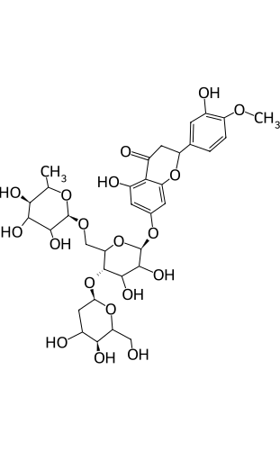 COc1ccc(C2CC(=O)c3c(O)cc(O[C@@H]4OC(CO[C@@H]5OC(C)[C@H](O)C(O)C5O)[C@@H](O[C@@H]5CC(O)[C@H](O)C(CO)O5)C(O)C4O)cc3O2)cc1O